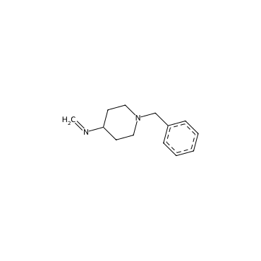 C=NC1CCN(Cc2ccccc2)CC1